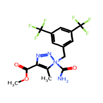 COC(=O)C1=C(C)[N+](Cc2cc(C(F)(F)F)cc(C(F)(F)F)c2)(C(N)=O)N=N1